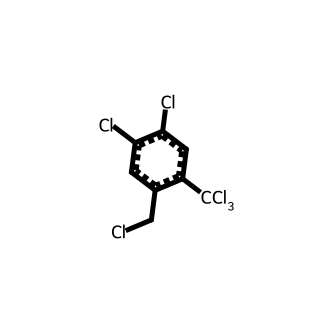 ClCc1cc(Cl)c(Cl)cc1C(Cl)(Cl)Cl